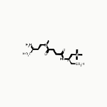 CN(CC[C@H](N)C(=O)O)C(=O)CCC(=O)N[C@H](CC(=O)O)C[N+](C)(C)C